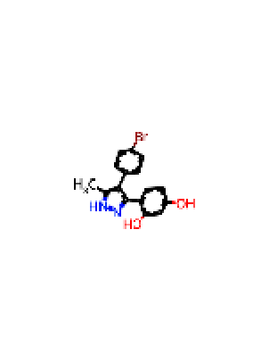 Cc1[nH]nc(-c2ccc(O)cc2O)c1-c1ccc(Br)cc1